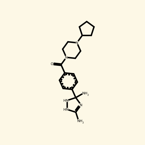 NC1=NC(N)(c2ccc(C(=O)N3CCN(C4CCCC4)CC3)cc2)NN1